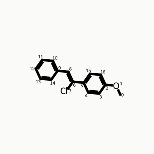 COc1ccc(C(Cl)=Cc2ccccc2)cc1